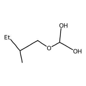 CCC(C)COC(O)O